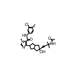 CC(=O)NC(C)(C)C#CC1(O)CC2CC(c3ncn(C)c3C(=O)Nc3ccc(F)c(Cl)c3)CC2C1